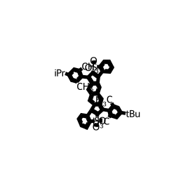 Cc1cc(C(C)C)cc(C)c1C1=c2cc3cc4c(cc3cc2C2=C1S(=O)(=O)c1ccccc12)=C(c1c(C)cc(C(C)(C)C)cc1C)C1=C4c2ccccc2S1(=O)=O